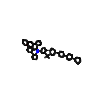 CC1(C)c2cc(-c3ccc(-c4ccc(-c5ccccc5)cc4)cc3)ccc2-c2ccc(N(c3ccccc3-c3ccc(-c4ccccc4)cc3)c3cc4ccccc4c4ccccc34)cc21